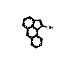 OC1=Cc2cccc3cc4ccccc4c1c23